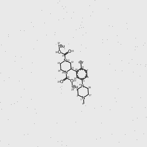 CN1CCN(c2ccc(Br)c(C3CN(C(=O)OC(C)(C)C)CCN3C(=O)OC(C)(C)C)c2)CC1